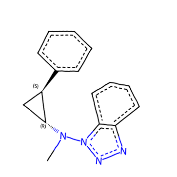 CN([C@@H]1C[C@H]1c1ccccc1)n1nnc2ccccc21